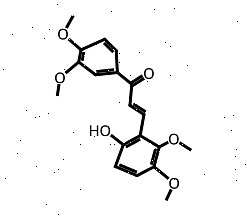 COc1ccc(C(=O)C=Cc2c(O)ccc(OC)c2OC)cc1OC